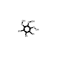 CC(C)c1c(OO)c(OO)c(OO)c(C(C)C)c1C(C)C